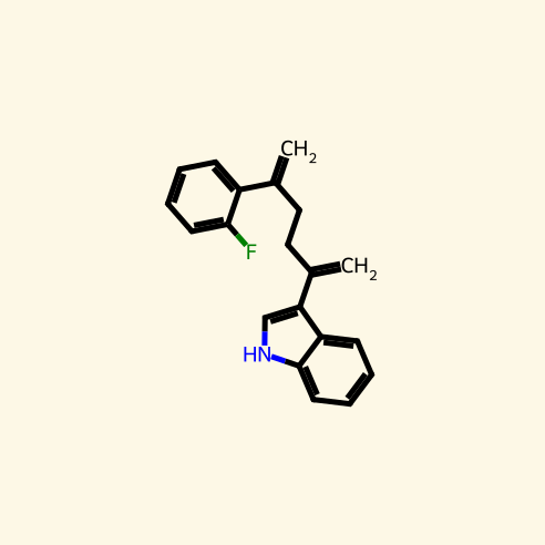 C=C(CCC(=C)c1c[nH]c2ccccc12)c1ccccc1F